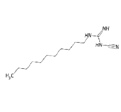 CCCCCCCCCCCNC(=N)NC#N